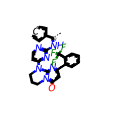 C[C@H](Nc1nccc(N2CCCn3c2nc(-c2ccccc2C(F)(F)F)cc3=O)n1)c1ccccc1